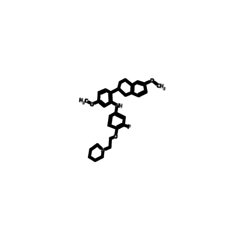 COc1ccc2c(c1)CCC(c1ccc(OC)cc1Nc1ccc(OCCN3CCCCC3)c(F)c1)C2